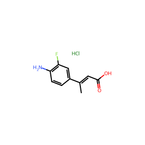 CC(=CC(=O)O)c1ccc(N)c(F)c1.Cl